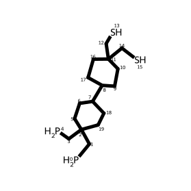 PCC1(CP)CCC(C2CCC(CS)(CS)CC2)CC1